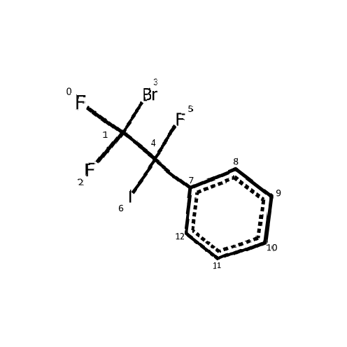 FC(F)(Br)C(F)(I)c1ccccc1